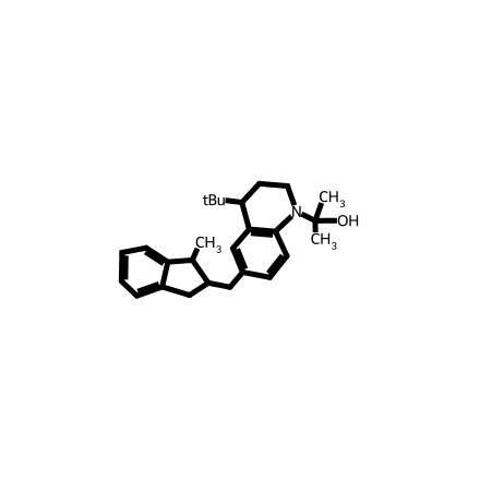 CC1c2ccccc2CC1Cc1ccc2c(c1)C(C(C)(C)C)CCN2C(C)(C)O